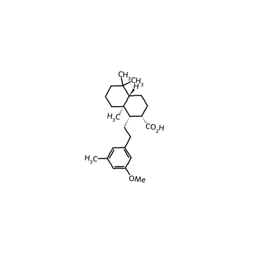 COc1cc(C)cc(CC[C@H]2[C@@H](C(=O)O)CC[C@H]3C(C)(C)CCC[C@]23C)c1